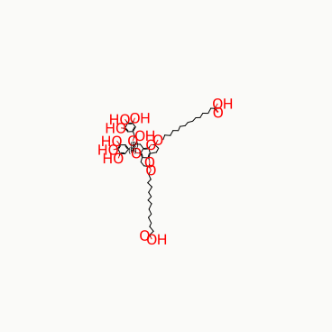 O=C(O)CCCCCCCCCCCCCCOC1CCc2c(c3c(c4c2O[C@H](c2cc(O)c(O)c(O)c2)[C@H](OC(O)c2cc(O)c(O)c(O)c2)C4)OC(OCCCCCCCCCCCCCCC(=O)O)CC3)O1